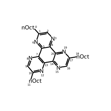 CCCCCCCCc1cnc2c(n1)c1ncc(CCCCCCCC)nc1c1ncc(CCCCCCCC)nc21